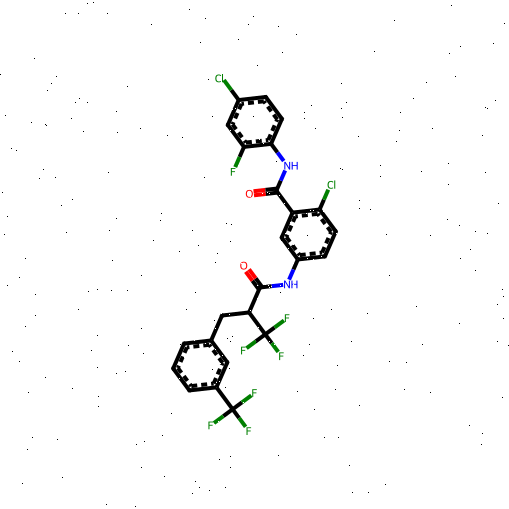 O=C(Nc1ccc(Cl)cc1F)c1cc(NC(=O)C(Cc2cccc(C(F)(F)F)c2)C(F)(F)F)ccc1Cl